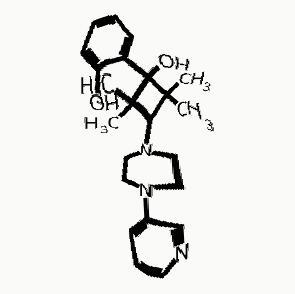 CC1(C)C(N2CCN(c3cccnc3)CC2)C(C)(C)C1(O)c1ccccc1O